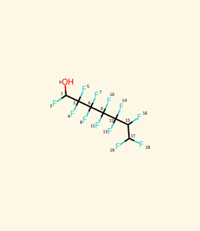 OC(F)C(F)(F)C(F)(F)C(F)(F)C(F)(F)C(F)C(F)F